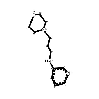 [c]1ncccc1NCCCN1CCOCC1